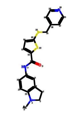 CC(=O)N1CCc2cc(NC(=O)c3ccc(SCc4ccncc4)s3)ccc21